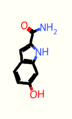 NC(=O)c1cc2ccc(O)cc2[nH]1